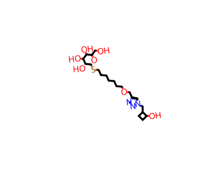 OCC1OC(SCCCCCCCOCc2cn(CC3CCC3O)nn2)C(O)C(O)C1O